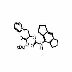 CC(C)(C)OC(=O)C(Cn1cccn1)OC(=O)Nc1c2c(cc3c1CCC3)CCC2